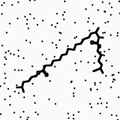 CC(C)CCCCOC(=O)CCCCCCCCCCCCCC(C)C(C)C(=O)OCCCCC(C)C